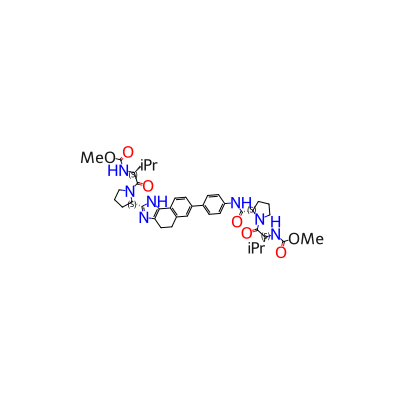 COC(=O)N[C@H](C(=O)N1CCC[C@H]1C(=O)Nc1ccc(-c2ccc3c(c2)CCc2nc([C@@H]4CCCN4C(=O)[C@@H](NC(=O)OC)C(C)C)[nH]c2-3)cc1)C(C)C